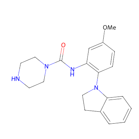 COc1ccc(N2CCc3ccccc32)c(NC(=O)N2CCNCC2)c1